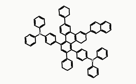 C1=CCCC(c2ccc3c(c2)c2c(c4c(-c5ccc(N(c6ccccc6)c6ccccc6)cc5)c(C5=CCCC=C5)cc(-c5ccc(N(c6ccccc6)c6ccccc6)cc5)c43)CCC(c3ccc4ccccc4c3)=C2)=C1